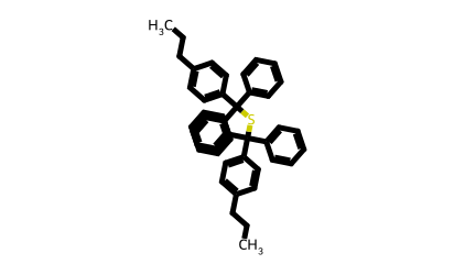 CCCc1ccc(C(SC(c2ccccc2)(c2ccccc2)c2ccc(CCC)cc2)(c2ccccc2)c2ccccc2)cc1